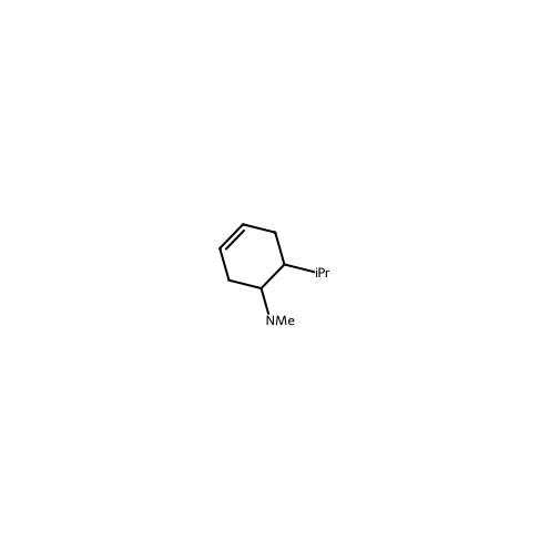 CNC1CC=CCC1C(C)C